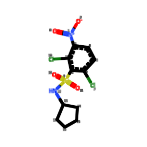 O=[N+]([O-])c1ccc(Cl)c(S(=O)(=O)NC2CCCC2)c1Cl